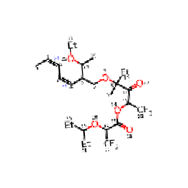 C/C=C\C=C/C(COC(C)(CC)C(=O)C(OC(=O)C(OC(CC)CC)C(F)(F)F)C(F)(F)F)C(C)OCC